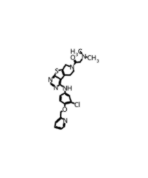 CN(C)CC(=O)N1CCc2c(sc3ncnc(Nc4ccc(OCc5ccccn5)c(Cl)c4)c23)C1